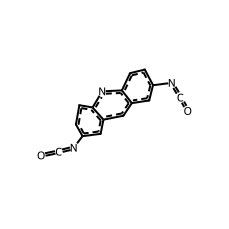 O=C=Nc1ccc2nc3ccc(N=C=O)cc3cc2c1